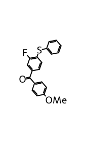 COc1ccc(C(=O)c2ccc(Sc3ccccc3)c(F)c2)cc1